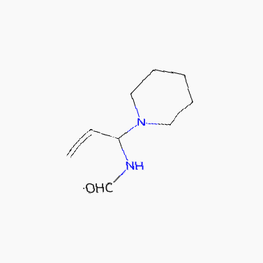 C=CC(N[C]=O)N1CCCCC1